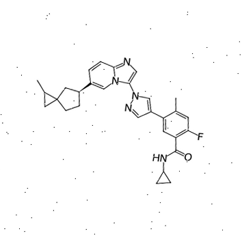 Cc1cc(F)c(C(=O)NC2CC2)cc1-c1cnn(-c2cnc3ccc([C@H]4CCC5(CC5C)C4)cn23)c1